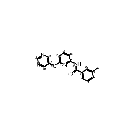 Cc1cccc(C(=O)Nc2cccc(Oc3cncnc3)n2)c1